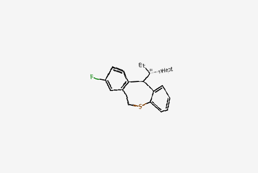 CCCCCCC[C@@H](CC)C1c2ccc(F)cc2CSc2ccccc21